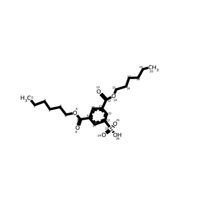 CCCCCCOC(=O)c1cc(C(=O)OCCCCCC)cc(S(=O)(=O)O)c1